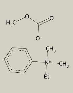 CC[N+](C)(C)c1ccccc1.COC(=O)[O-]